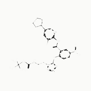 CC(C)(C)OC(=O)NCCn1nnnc1Sc1ccc([N+](=O)[O-])cc1C(=O)Nc1ncc(C2CCCC2)cc1F